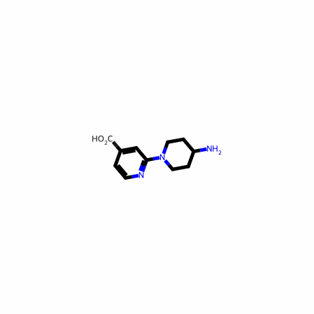 NC1CCN(c2cc(C(=O)O)ccn2)CC1